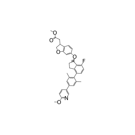 COC(=O)CC1COc2cc(O[C@@H]3CCc4c(-c5c(C)cc(-c6ccc(OC)nc6)cc5C)ccc(F)c43)ccc21